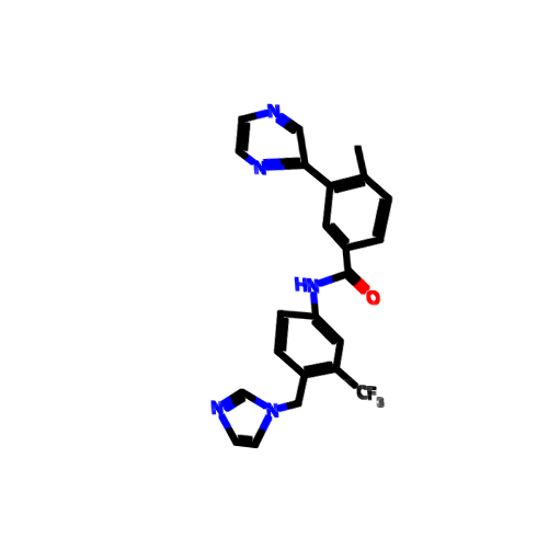 Cc1ccc(C(=O)Nc2ccc(Cn3ccnc3)c(C(F)(F)F)c2)cc1-c1cnccn1